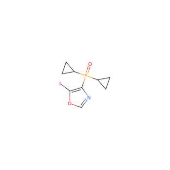 O=P(c1ncoc1I)(C1CC1)C1CC1